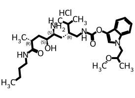 CCCCNC(=O)[C@H](C)C[C@H](O)[C@@H](N)C[C@@H](CNC(=O)Oc1cn(CC(C)OC)c2ccccc12)C(C)C.Cl